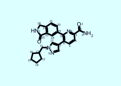 NC(=O)c1ccc(-c2cnn(CC3CCCC3)c2)c(-c2ccc3c(c2)C(=O)NC3)n1